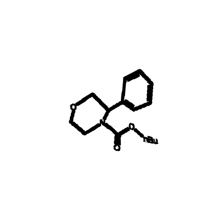 CCCCOC(=O)N1CCOCC1c1ccccc1